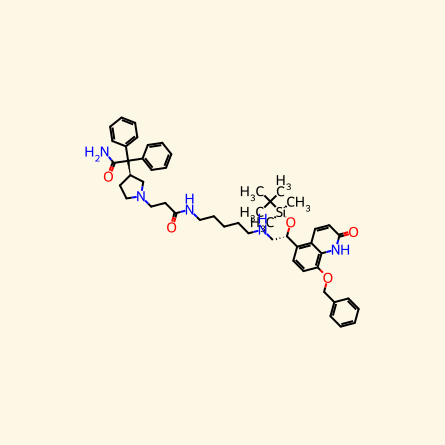 CC(C)(C)[Si](C)(C)O[C@@H](CNCCCCCNC(=O)CCN1CC[C@@H](C(C(N)=O)(c2ccccc2)c2ccccc2)C1)c1ccc(OCc2ccccc2)c2[nH]c(=O)ccc12